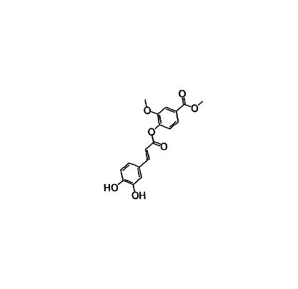 COC(=O)c1ccc(OC(=O)/C=C/c2ccc(O)c(O)c2)c(OC)c1